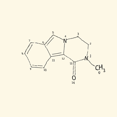 CN1CCn2cc3ccccc3c2C1=O